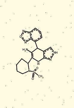 CS(=O)(=O)N1CCCCC1C1=C(N)C(c2cccc3nonc23)c2c[nH]nc2N1